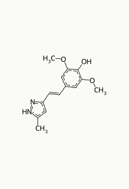 COc1cc(C=Cc2cc(C)[nH]n2)cc(OC)c1O